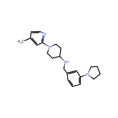 Cc1ccnc(N2CCC(NCc3cccc(N4CCCC4)c3)CC2)c1